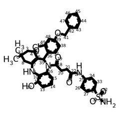 CC1(C)CC(=O)C2=C(C1)Nc1c(O)cccc1N(C(=O)CCC(=O)Nc1ccc(S(N)(=O)=O)cc1)C2c1ccc(OCc2ccccc2)cc1Cl